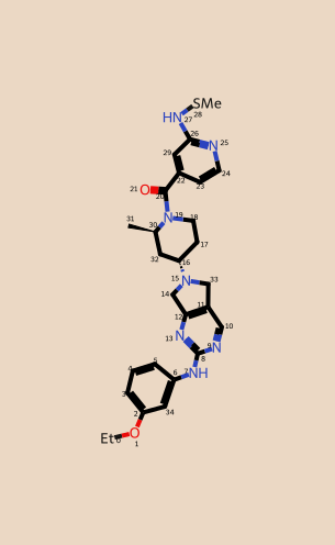 CCOc1cccc(Nc2ncc3c(n2)CN([C@H]2CCN(C(=O)c4ccnc(NSC)c4)[C@H](C)C2)C3)c1